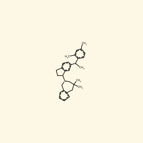 Cc1ccc(C(C)c2ccc3c(c2)C(N2Cc4ccccc4CC(C)(C)C2)CC3)c(C)c1